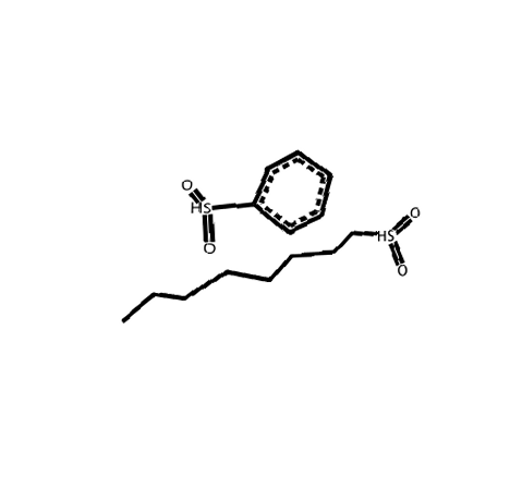 CCCCCCCC[SH](=O)=O.O=[SH](=O)c1ccccc1